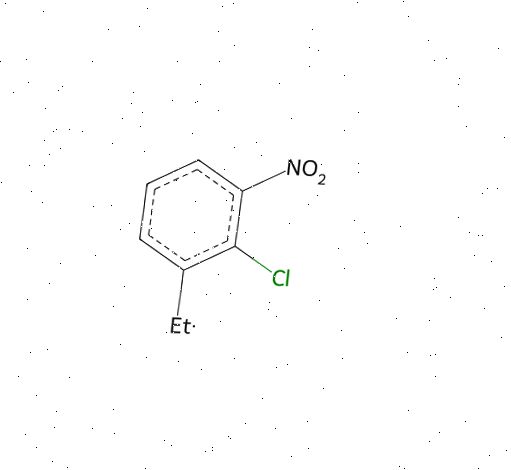 C[CH]c1cccc([N+](=O)[O-])c1Cl